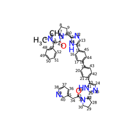 CN(C)[C@@H](C(=O)N1CCC[C@H]1c1ncc(-c2ccc(-c3ccc(-c4cnc([C@@H]5CCCN5C(=O)Cc5cccnc5)[nH]4)cc3)cc2)[nH]1)c1ccccc1